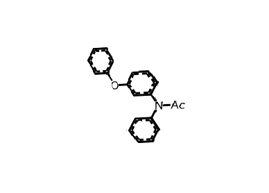 CC(=O)N(c1c[c]ccc1)c1cccc(Oc2ccccc2)c1